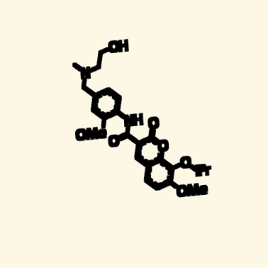 COc1cc(CN(C)CCO)ccc1NC(=O)c1cc2ccc(OC)c(OC(C)C)c2oc1=O